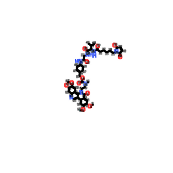 COc1cc2c(=O)n(CCN(C)C(=O)OCc3ccc(NC(=O)CNC(=O)C(NC(=O)CCCCCN4C(=O)C=CC4=O)C(C)C)cc3)c3c4cc5c(cc4ncc3c2cc1OC)OCO5